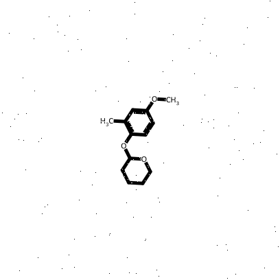 COc1ccc(OC2CCCCO2)c(C)c1